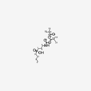 CCCCP(=O)(O)CCCNC(=O)O[C@@H](OC(=O)C(C)C)C(C)C